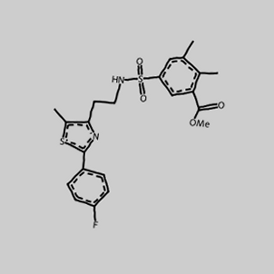 COC(=O)c1cc(S(=O)(=O)NCCc2nc(-c3ccc(F)cc3)sc2C)cc(C)c1C